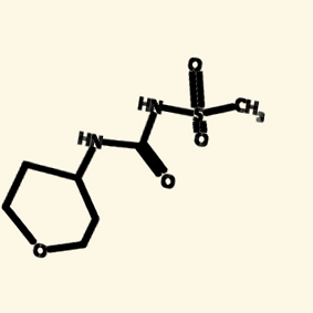 CS(=O)(=O)NC(=O)NC1CCOCC1